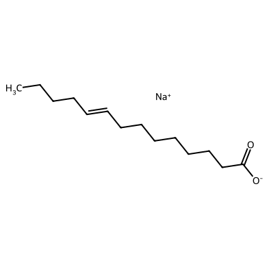 CCCCC=CCCCCCCCC(=O)[O-].[Na+]